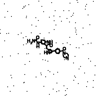 CN1CCN(C(=O)c2ccc(-c3c[nH]c(/C=C4\C(=O)Nc5ccc(NC(N)=O)cc54)c3)cc2)CC1